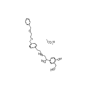 CC(=O)O.OCc1cc([C@@H](O)CNCCc2ccc(COCCOCc3ccccc3)cc2)ccc1O